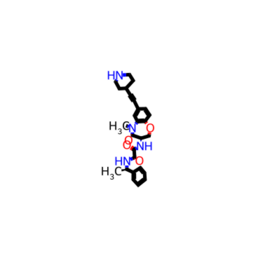 C[C@@H](NC(=O)C(=O)N[C@H]1COc2ccc(C#CC3CCNCC3)cc2N(C)C1=O)c1ccccc1